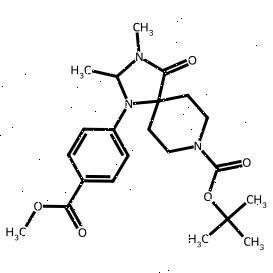 COC(=O)c1ccc(N2C(C)N(C)C(=O)C23CCN(C(=O)OC(C)(C)C)CC3)cc1